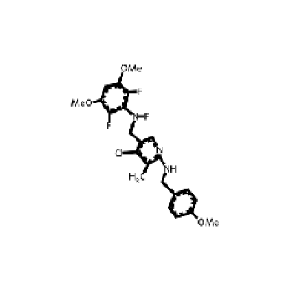 COc1ccc(CNc2ncc(CN(F)c3c(F)c(OC)cc(OC)c3F)c(Cl)c2C)cc1